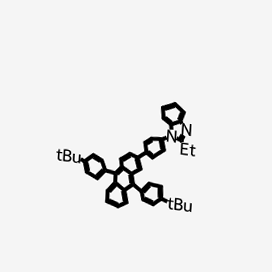 CCc1nc2ccccc2n1-c1ccc(-c2ccc3c(-c4ccc(C(C)(C)C)cc4)c4ccccc4c(-c4ccc(C(C)(C)C)cc4)c3c2)cc1